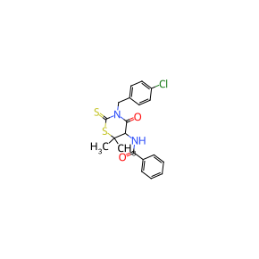 CC1(C)SC(=S)N(Cc2ccc(Cl)cc2)C(=O)C1NC(=O)c1ccccc1